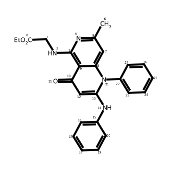 CCOC(=O)CNc1nc(C)cc2c1c(=O)cc(Nc1ccccc1)n2-c1ccccc1